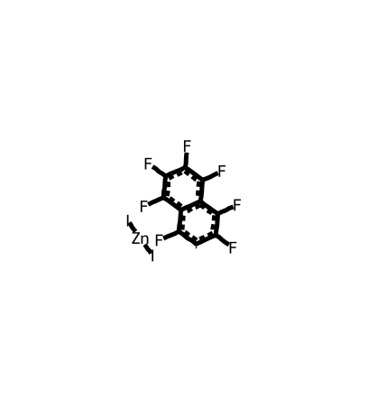 Fc1[c]c(F)c2c(F)c(F)c(F)c(F)c2c1F.[I][Zn][I]